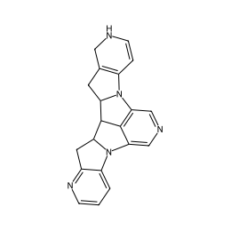 C1=CC2=C(CN1)CC1C3c4c(cncc4N4c5cccnc5CC34)N21